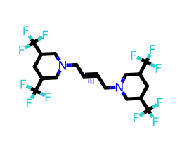 FC(F)(F)C1CC(C(F)(F)F)CN(C/C=C/CN2CC(C(F)(F)F)CC(C(F)(F)F)C2)C1